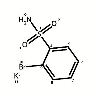 NS(=O)(=O)c1ccccc1Br.[K]